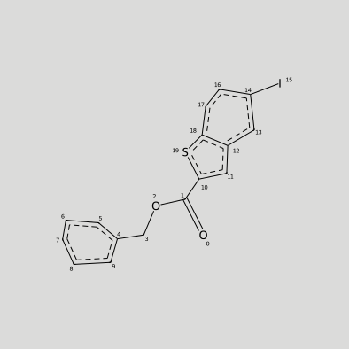 O=C(OCc1ccccc1)c1cc2cc(I)ccc2s1